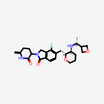 C=C1CCC(N2Cc3c(ccc(C[C@H]4OCCC[C@@H]4N[C@H](C)C4COC4)c3F)C2=O)C(=O)N1